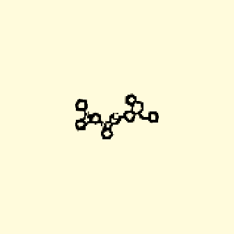 c1ccc(CC2CCc3ccccc3-c3cc(-c4ccc5c(c4)c4ccccc4n5-c4ccc5c(c4)c4ccccc4n5-c4ccccc4)ccc32)cc1